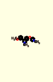 COc1cccc(C2CN(C)Cc3cc(OC4CCN(C)CC4)ccc32)c1